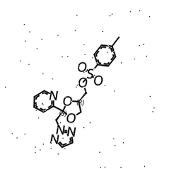 Cc1ccc(S(=O)(=O)OC[C@H]2CO[C@](Cn3nccn3)(c3ccccn3)O2)cc1